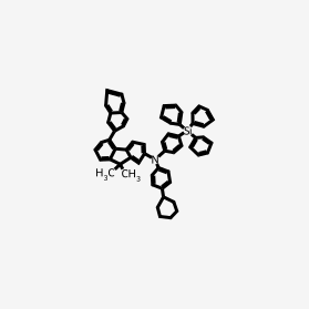 CC1(C)c2cc(N(c3ccc(C4CCCCC4)cc3)c3ccc([Si](c4ccccc4)(c4ccccc4)c4ccccc4)cc3)ccc2-c2c(-c3ccc4ccccc4c3)cccc21